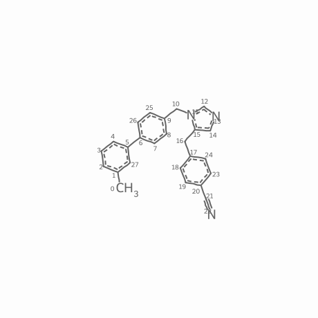 Cc1cccc(-c2ccc(Cn3cncc3Cc3ccc(C#N)cc3)cc2)c1